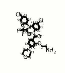 NCCOc1cc(N2CCOCC2)ccc1C(=O)Nc1ccc(Cl)cc1N(C(=O)C(F)(F)F)c1ccc(Cl)cn1